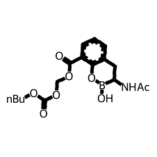 CCCCOC(=O)OCOC(=O)c1cccc2c1OB(O)C(NC(C)=O)C2